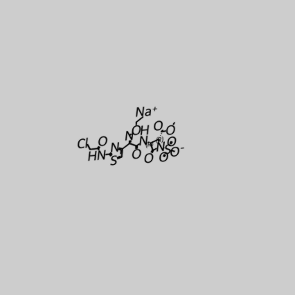 CCON=C(C(=O)N[C@H]1C(=O)N(S(=O)(=O)[O-])[C@H]1C(=O)OC)c1csc(NC(=O)CCl)n1.[Na+]